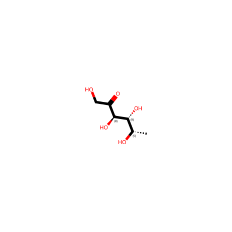 C[C@H](O)[C@@H](O)[C@@H](O)C(=O)CO